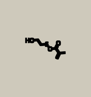 C=C(C)C(=O)OSCCO